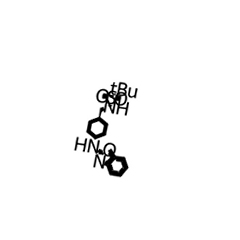 CC(C)(C)S(=O)(=O)NC[C@H]1CC[C@H](Nc2nc3ccccc3o2)CC1